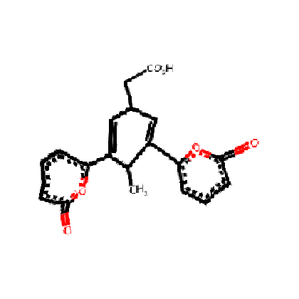 CC1C(c2cccc(=O)o2)=CC(CC(=O)O)C=C1c1cccc(=O)o1